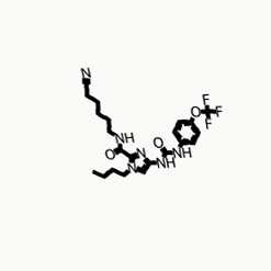 CCCCn1cc(NC(=O)Nc2ccc(OC(F)(F)F)cc2)nc1C(=O)NCCCCCC#N